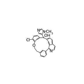 Cn1cncc1C1(O)c2ccc(Cl)c(c2)OCCc2cccc(c2)-c2nccc3ccc1cc23